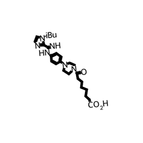 CC[C@@H](C)n1ccnc1C(=N)Nc1ccc(N2CCN(C(=O)CCCCCCC(=O)O)CC2)cc1